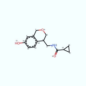 O=C(NCC1COCc2cc(O)ccc21)C1CC1